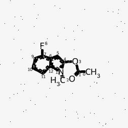 CC(=O)Oc1cc2c(F)cccc2n1C